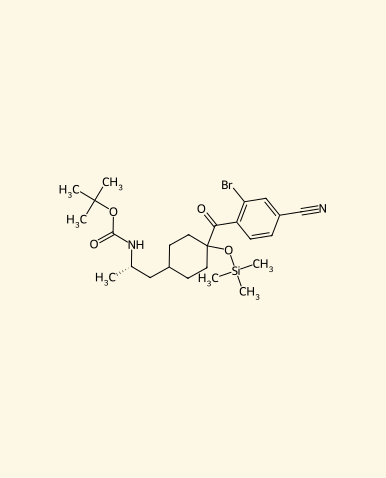 C[C@@H](CC1CCC(O[Si](C)(C)C)(C(=O)c2ccc(C#N)cc2Br)CC1)NC(=O)OC(C)(C)C